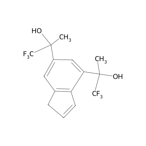 CC(O)(c1cc2c(c(C(C)(O)C(F)(F)F)c1)C=CC2)C(F)(F)F